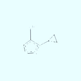 Cc1conc1C1CC1